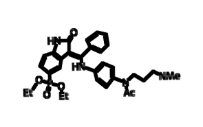 CCOP(=O)(OCC)c1ccc2c(c1)C(=C(Nc1ccc(N(CCCNC)C(C)=O)cc1)c1ccccc1)C(=O)N2